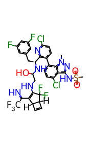 Cn1nc(NS(C)(=O)=O)c2c(Cl)ccc(-c3ccc(Cl)nc3[C@H](Cc3cc(F)cc(F)c3)NC(O)CNC3=C(C(=N)C(F)(F)F)[C@H]4C=C[C@H]4C3(F)F)c21